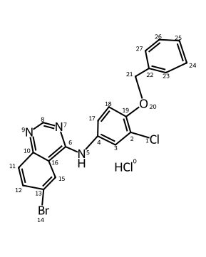 Cl.Clc1cc(Nc2ncnc3ccc(Br)cc23)ccc1OCc1ccccc1